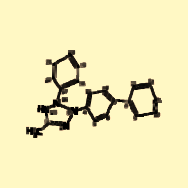 CC1=NN(c2ccc(-c3ccccc3)cc2)N(c2ccccc2)N1